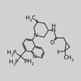 C=C1C[C@@H](NC(=O)CC2CC2(C)F)CN(c2ccc(C(P)(P)P)c3ncccc23)C1